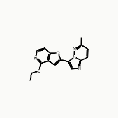 CCOc1nccc2oc(-c3cnc4ccc(C)nn34)cc12